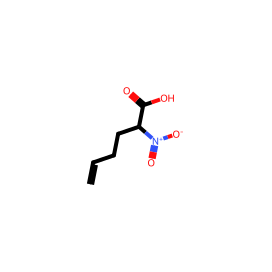 C=CCCC(C(=O)O)[N+](=O)[O-]